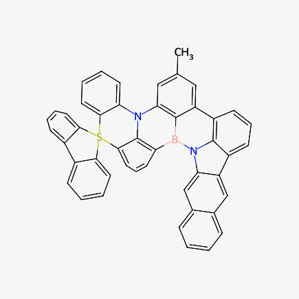 Cc1cc2c3c(c1)N1c4ccccc4S4(c5ccccc5-c5ccccc54)c4cccc(c41)B3n1c3cc4ccccc4cc3c3cccc-2c31